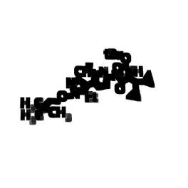 CCc1c(-c2ccc(NC(=O)[C@@H](NC(=O)OC(C)(C)C)C(C3CC3)C3CC3)nc2F)c(C)nn1COCC[Si](C)(C)C